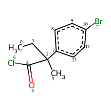 CCC(C)(C(=O)Cl)c1ccc(Br)cc1